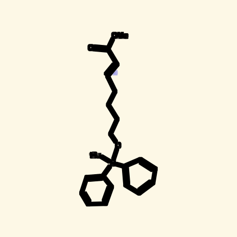 COC(=O)/C=C/CCCCO[Si](c1ccccc1)(c1ccccc1)C(C)(C)C